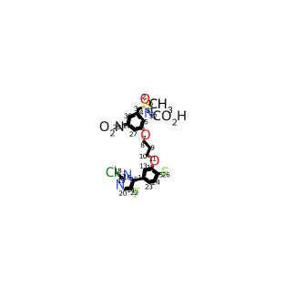 CS(=O)(Cc1cc(OCCCOc2cc(-c3nc(Cl)ncc3F)ccc2F)cc([N+](=O)[O-])c1)=NC(=O)O